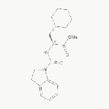 COC(=O)[C@H](CC1CCCCC1)NC(=O)N1CCc2ccccc21